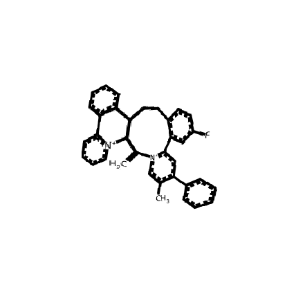 C=C1C2C(CCc3ccc(F)cc3-c3cc(-c4ccccc4)c(C)c[n+]31)c1ccccc1-c1cccc[n+]12